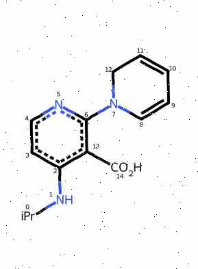 CC(C)Nc1ccnc(N2C=CC=CC2)c1C(=O)O